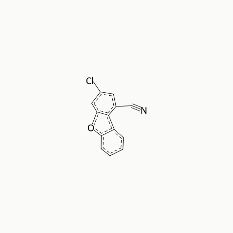 N#Cc1cc(Cl)cc2oc3ccccc3c12